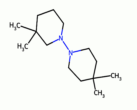 CC1(C)CCN(N2CCCC(C)(C)C2)CC1